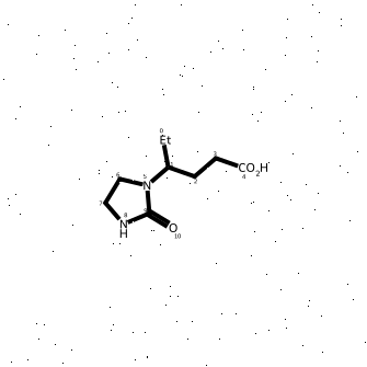 CCC(CCC(=O)O)N1CCNC1=O